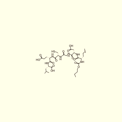 CCCCOC(=O)N[C@@H](CCSC)C(=O)N[C@@H](CC(=O)O)C(=O)NCC(=O)N[C@@H](CS)C(=O)N[C@@H](CCC(=O)O)C(=O)N[C@@H](CC(C)C)C(=O)O